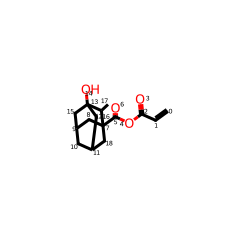 C=CC(=O)OC(=O)C12CC3CC(CC(O)(C3)C1C)C2